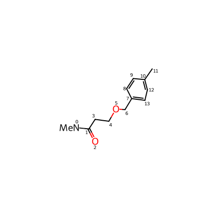 CNC(=O)CCOCc1ccc(C)cc1